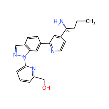 CCC[C@H](N)c1ccnc(-c2ccc3cnn(-c4cccc(CO)n4)c3c2)c1